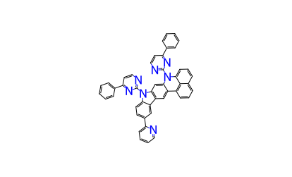 c1ccc(-c2ccnc(N3c4cc5c(cc4-c4cccc6cccc3c46)c3cc(-c4ccccn4)ccc3n5-c3nccc(-c4ccccc4)n3)n2)cc1